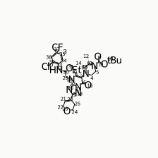 CCc1c(N2CCN(C(=O)OC(C)(C)C)[C@@H](C)[C@H]2C)c(=O)n2nc(C3=CCOCC3)nc2n1CC(=O)Nc1ccc(C(F)(F)F)cc1Cl